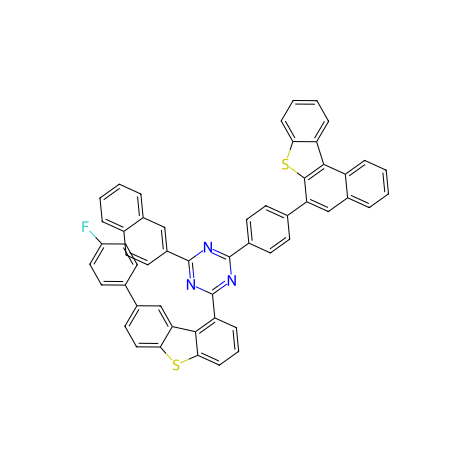 Fc1ccc(-c2ccc3sc4cccc(-c5nc(-c6ccc(-c7cc8ccccc8c8c7sc7ccccc78)cc6)nc(-c6ccc7ccccc7c6)n5)c4c3c2)cc1